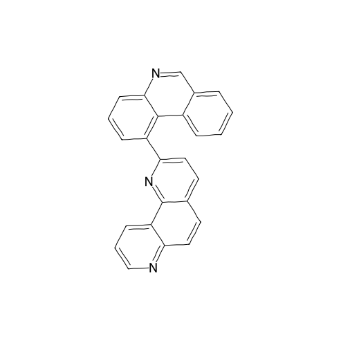 c1ccc2c(c1)cnc1cccc(-c3ccc4ccc5ncccc5c4n3)c12